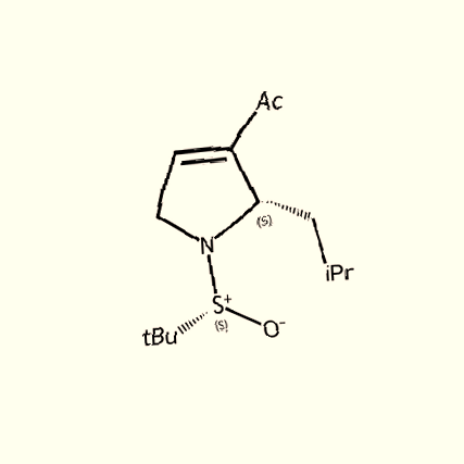 CC(=O)C1=CCN([S@+]([O-])C(C)(C)C)[C@H]1CC(C)C